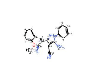 COc1ccccc1/C=C(\C#N)c1nn(-c2ccccc2)c(N)c1C#N